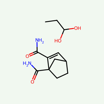 CCC(O)O.NC(=O)C1=CC2CCC1(C(N)=O)C2